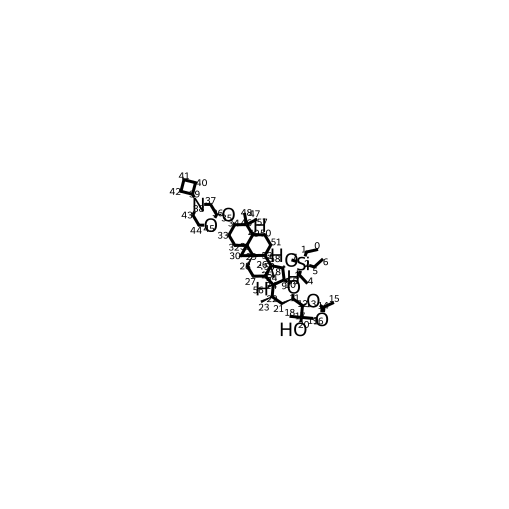 CC[Si](CC)(CC)O[C@H]1[C@H]2O[C@@H]([C@H](OC(C)=O)C(C)(C)O)C[C@@H](C)[C@@H]2[C@@]2(C)CC[C@@]34CC35CC[C@H](O[C@H]3CN(C6CCC6)CCO3)C(C)(C)[C@@H]5CC[C@H]4[C@]12C